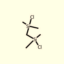 C[Si](C)(Cl)C[Si](C)(C)Cl